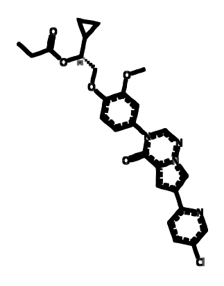 CCC(=O)O[C@@H](COc1ccc(-n2cnn3cc(-c4ccc(Cl)cn4)cc3c2=O)cc1OC)C1CC1